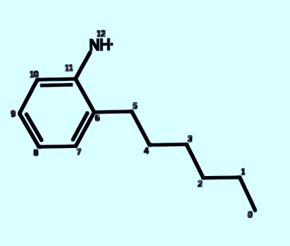 CCCCCCc1ccccc1[NH]